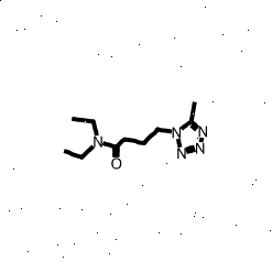 CCN(CC)C(=O)CCCn1nnnc1C